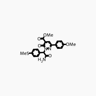 COC(=O)c1cc(-c2ccc(OC)cc2)nn(C(C(N)=O)c2ccc(SC)cc2)c1=O